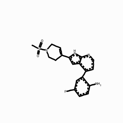 CS(=O)(=O)N1CC=C(c2cc3c(-c4cc(F)ccc4N)ccnc3[nH]2)CC1